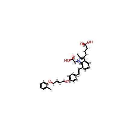 Cc1ccccc1OC/C=C/COc1ccc(C=Cc2cccc3c(CCCC(=O)O)c(C)n(CC(=O)O)c23)cc1